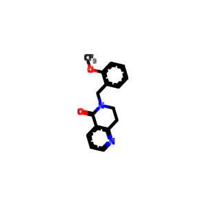 O=C1c2cccnc2CCN1Cc1ccccc1OC(F)(F)F